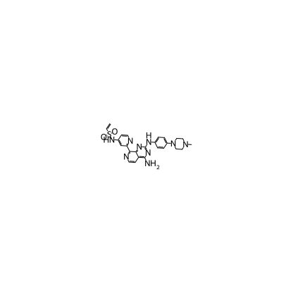 C=CS(=O)(=O)Nc1ccnc(-c2nccc3c(N)nc(Nc4ccc(N5CCN(C)CC5)cc4)nc23)c1